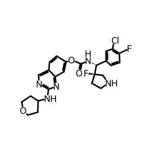 O=C(N[C@H](c1ccc(F)c(Cl)c1)[C@@]1(F)CCNC1)Oc1ccc2cnc(NC3CCOCC3)nc2c1